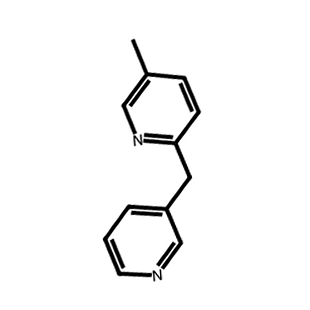 Cc1ccc(Cc2cccnc2)nc1